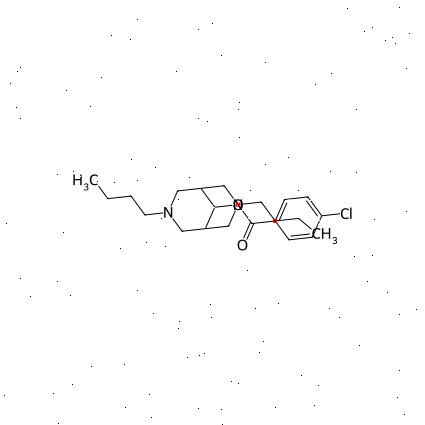 CCCCN1CC2CN(CCCC)CC(C1)C2OC(=O)c1ccc(Cl)cc1